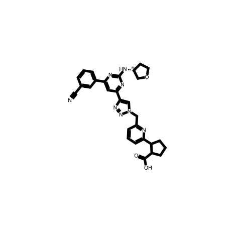 N#Cc1cccc(-c2cc(-c3cn(Cc4cccc(C5CCCC5C(=O)O)n4)nn3)nc(N[C@@H]3CCOC3)n2)c1